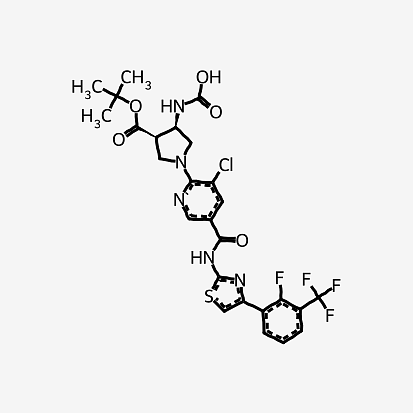 CC(C)(C)OC(=O)[C@@H]1CN(c2ncc(C(=O)Nc3nc(-c4cccc(C(F)(F)F)c4F)cs3)cc2Cl)C[C@@H]1NC(=O)O